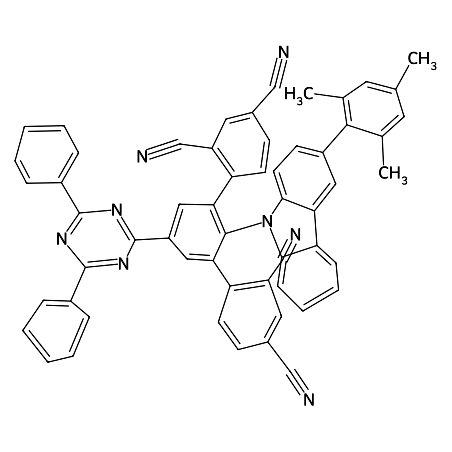 Cc1cc(C)c(-c2ccc3c(c2)c2ccccc2n3-c2c(-c3ccc(C#N)cc3C#N)cc(-c3nc(-c4ccccc4)nc(-c4ccccc4)n3)cc2-c2ccc(C#N)cc2C#N)c(C)c1